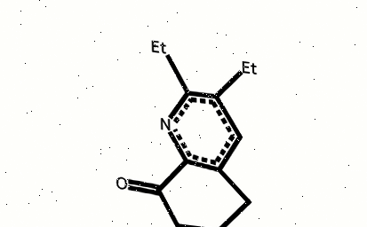 CCc1cc2c(nc1CC)C(=O)CCC2